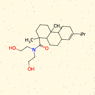 CC(C)C1=CC2CCC3C(C)(C(=O)N(CCO)CCO)CCCC3(C)C2CC1